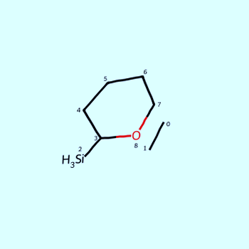 CC.[SiH3]C1CCCCO1